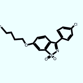 O=S1(=O)N=C(c2ccc(Cl)cc2)c2ccc(OCCCCBr)cc21